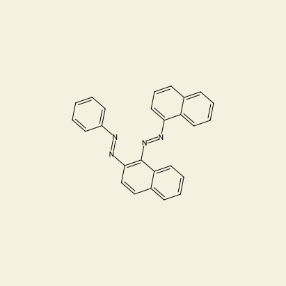 c1ccc(N=Nc2ccc3ccccc3c2N=Nc2cccc3ccccc23)cc1